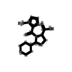 Cn1ccnc1C(=O)N1C(C(=O)O)CSC1C1CCOCC1